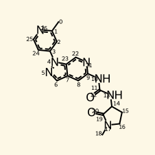 Cc1cc(-n2ncc3cc(NC(=O)NC4CCN(C)C4=O)ncc32)ccn1